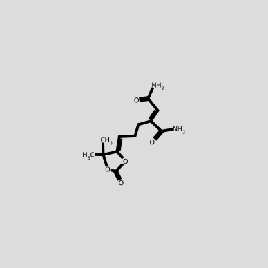 CC1(C)OC(=O)OC1=CCC/C(=C\C(N)=O)C(N)=O